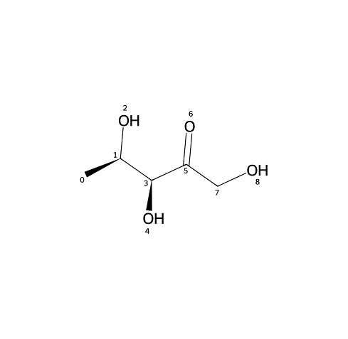 C[C@@H](O)[C@H](O)C(=O)CO